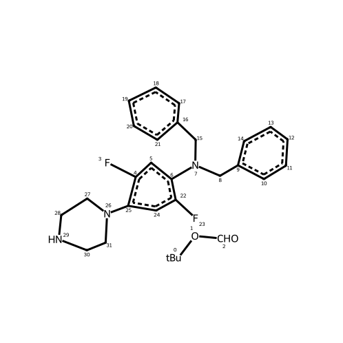 CC(C)(C)OC=O.Fc1cc(N(Cc2ccccc2)Cc2ccccc2)c(F)cc1N1CCNCC1